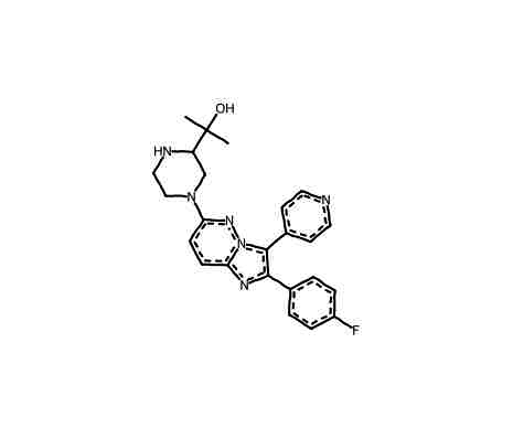 CC(C)(O)C1CN(c2ccc3nc(-c4ccc(F)cc4)c(-c4ccncc4)n3n2)CCN1